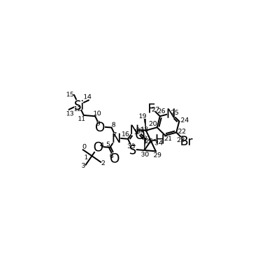 CC(C)(C)OC(=O)N(COCC[Si](C)(C)C)C1=N[C@](C)(c2cc(Br)cnc2F)[C@@H]2C[C@]2(C=O)S1